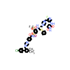 CC1(C)CCC(c2ccc(Cl)cc2)=C(CN2CCN(c3ccc(C(=O)NS(=O)(=O)c4ccc(N[C@H](CCN5CCN(Cc6cc(NC7CCC(=O)NC7=O)cnc6F)CC5)CSc5ccccc5)c(S(=O)(=O)C(F)(F)F)c4)cc3)CC2)C1